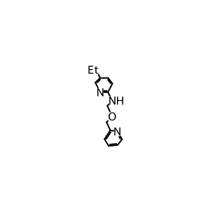 CCc1ccc(NCOCc2ccccn2)nc1